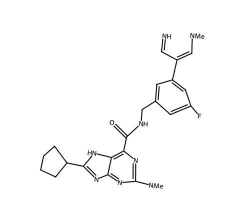 CN/C=C(\C=N)c1cc(F)cc(CNC(=O)c2nc(NC)nc3nc(C4CCCC4)[nH]c23)c1